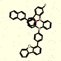 Fc1ccc2c3ccccc3n(-c3ccccc3N(c3ccc(-c4ccc5ccccc5c4)cc3)c3ccc(-c4cccc5c4oc4ccccc45)cc3)c2c1